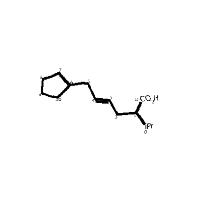 CC(C)C(CC=CCC1CCCC1)C(=O)O